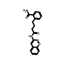 NC(=O)c1ccccc1CC[CH]C(=O)Nc1cc2ccccc2nn1